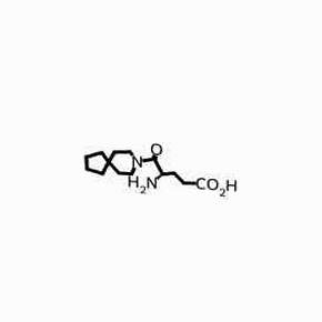 N[C@H](CCC(=O)O)C(=O)N1CCC2(CCCC2)CC1